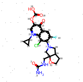 NC(=O)NCC12CN(c3c(F)cc4c(=O)c(OC(=O)O)cn(C5CC5)c4c3Cl)CC1CCO2